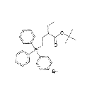 CCC(CC[P+](c1ccccc1)(c1ccccc1)c1ccccc1)C(=O)OC(C)(C)C.[Br-]